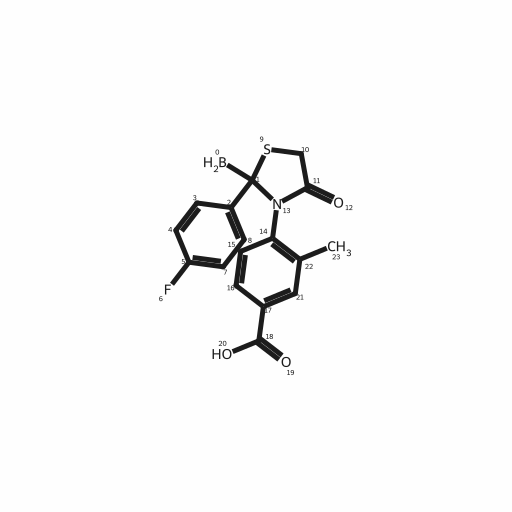 BC1(c2ccc(F)cc2)SCC(=O)N1c1ccc(C(=O)O)cc1C